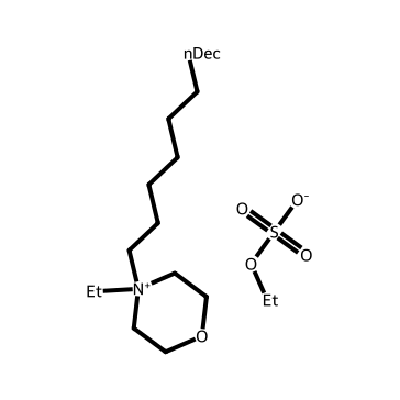 CCCCCCCCCCCCCCCC[N+]1(CC)CCOCC1.CCOS(=O)(=O)[O-]